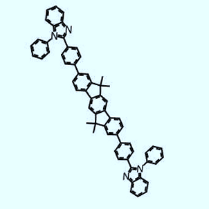 CC1(C)c2cc(-c3ccc(-c4nc5ccccc5n4-c4ccccc4)cc3)ccc2-c2cc3c(cc21)-c1ccc(-c2ccc(-c4nc5ccccc5n4-c4ccccc4)cc2)cc1C3(C)C